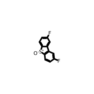 [O-][s+]1c2ccc(F)cc2c2cc(F)ccc21